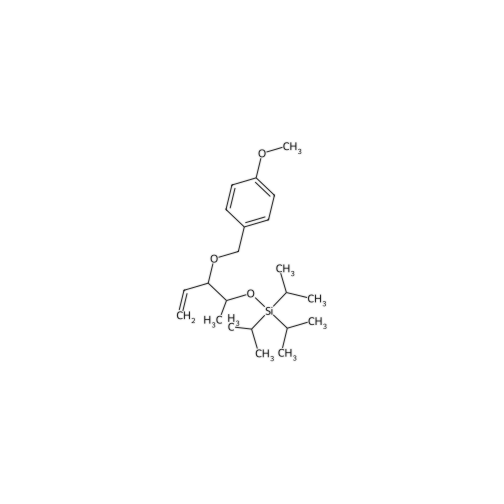 C=CC(OCc1ccc(OC)cc1)C(C)O[Si](C(C)C)(C(C)C)C(C)C